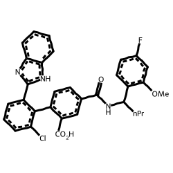 CCCC(NC(=O)c1ccc(-c2c(Cl)cccc2-c2nc3ccccc3[nH]2)c(C(=O)O)c1)c1ccc(F)cc1OC